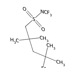 CCC(C)(C)CC(C)(C)CS(=O)(=O)NC(F)(F)F